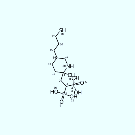 CC1(CC(P(=O)(O)O)P(=O)(O)O)CCC(CCCS)CN1